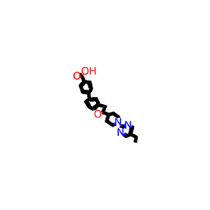 CCc1cnc(N2CCC(C3Cc4cc(-c5ccc(C(=O)O)cc5)ccc4O3)CC2)nc1